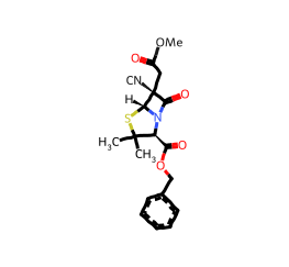 [C-]#[N+][C@@]1(CC(=O)OC)C(=O)N2[C@@H](C(=O)OCc3ccccc3)C(C)(C)S[C@@H]21